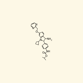 CC(C)OC(=O)Nc1ccc(C2C(N)c3ccc(OCc4ncccn4)cc3N2C2CCC2)cc1